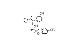 CC(C1CCC1)C(CNC(=O)C(C)(C)Oc1ccc(C(F)(F)F)cn1)c1cccc(C#N)c1